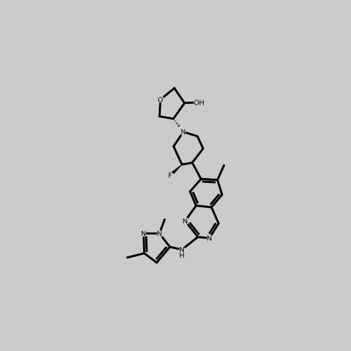 Cc1cc(Nc2ncc3cc(C)c(C4CCN([C@@H]5COCC5O)C[C@@H]4F)cc3n2)n(C)n1